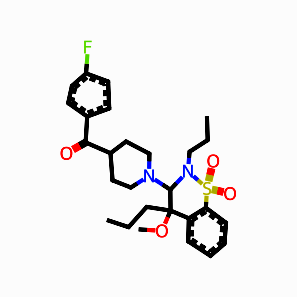 CCCN1C(N2CCC(C(=O)c3ccc(F)cc3)CC2)C(CCC)(OC)c2ccccc2S1(=O)=O